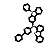 c1ccc(-c2ccc(N(c3ccc4c(c3)c3ccccc3n4-c3ccccc3)c3cccc4c3sc3ccccc34)cc2)cc1